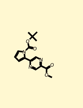 COC(=O)c1cnc(-c2cccn2C(=O)OC(C)(C)C)cn1